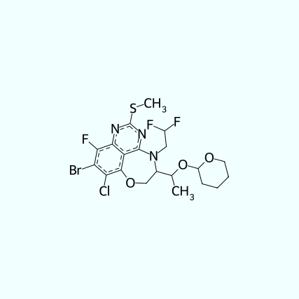 CSc1nc2c3c(c(Cl)c(Br)c(F)c3n1)OCC(C(C)OC1CCCCO1)N2CC(F)F